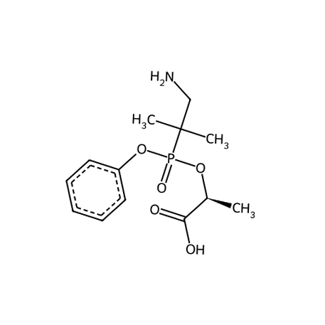 C[C@H](OP(=O)(Oc1ccccc1)C(C)(C)CN)C(=O)O